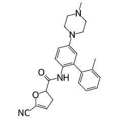 Cc1ccccc1-c1cc(N2CCN(C)CC2)ccc1NC(=O)C1CC=C(C#N)O1